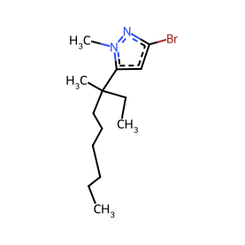 CCCCCCC(C)(CC)c1cc(Br)nn1C